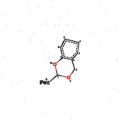 CCCC(C)C1OCc2ccccc2O1